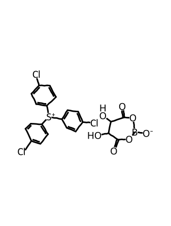 Clc1ccc([S+](c2ccc(Cl)cc2)c2ccc(Cl)cc2)cc1.O=C1OB([O-])OC(=O)C(O)C1O